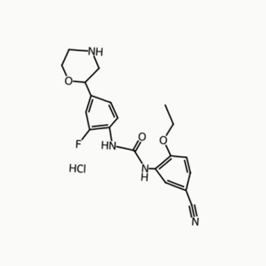 CCOc1ccc(C#N)cc1NC(=O)Nc1ccc(C2CNCCO2)cc1F.Cl